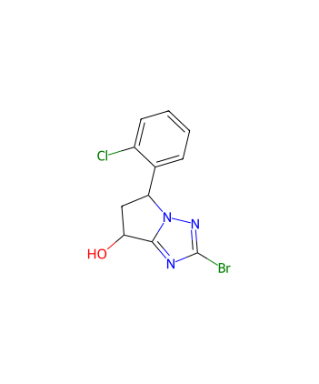 OC1CC(c2ccccc2Cl)n2nc(Br)nc21